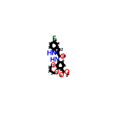 COC(=O)c1ccc(NC(=O)c2cc3cc(F)ccc3[nH]2)c2c1OCCCO2